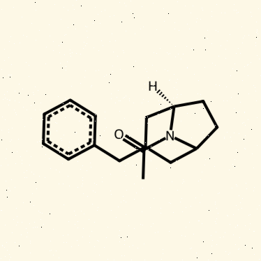 CC(=O)N1C2CC[C@@H]1CC(Cc1ccccc1)C2